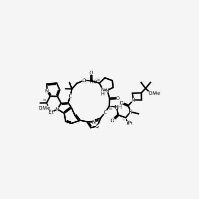 CCn1c(-c2cccnc2[C@H](C)OC)c2c3cc(ccc31)-c1csc(n1)C[C@H](NC(=O)[C@H](C(C)C)N(C)C(=O)N1CC(C(C)(C)OC)C1)C(=O)N1CCC[C@@](O)(N1)C(=O)OCC(C)(C)C2